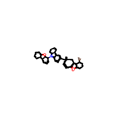 CC1(c2ccc3c(c2)c2ccccc2n3-c2cccc3c2oc2ccccc23)C=Cc2oc3cccc(Br)c3c2C1